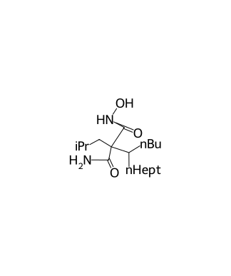 CCCCCCCC(CCCC)C(CC(C)C)(C(N)=O)C(=O)NO